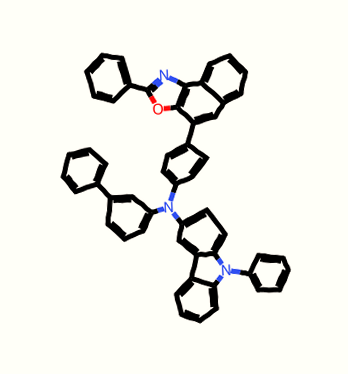 c1ccc(-c2cccc(N(c3ccc(-c4cc5ccccc5c5nc(-c6ccccc6)oc45)cc3)c3ccc4c(c3)c3ccccc3n4-c3ccccc3)c2)cc1